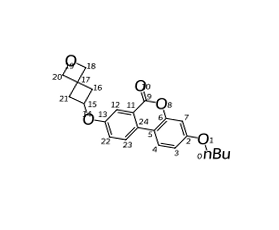 CCCCOc1ccc2c(c1)oc(=O)c1cc(OC3CC4(COC4)C3)ccc12